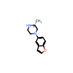 C[C@@H]1CN(c2ccc3occc3c2)CCN1